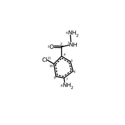 NNC(=O)c1ccc(N)cc1Cl